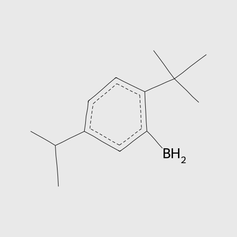 Bc1cc(C(C)C)ccc1C(C)(C)C